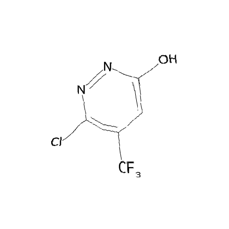 Oc1cc(C(F)(F)F)c(Cl)nn1